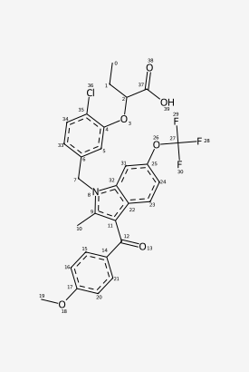 CCC(Oc1cc(Cn2c(C)c(C(=O)c3ccc(OC)cc3)c3ccc(OC(F)(F)F)cc32)ccc1Cl)C(=O)O